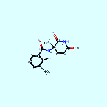 CCCC1(N2Cc3c(cccc3[N+](=O)[O-])C2=O)CCC(=O)NC1=O